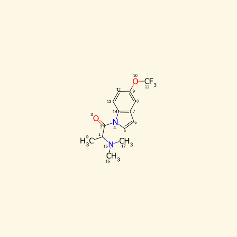 CC(C(=O)n1ccc2cc(OC(F)(F)F)ccc21)N(C)C